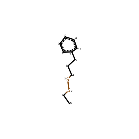 CCSSCCCc1ccccc1